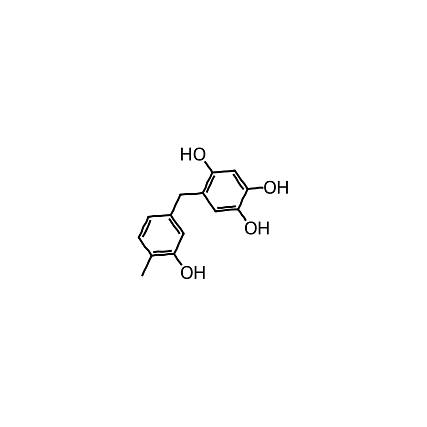 Cc1ccc(Cc2cc(O)c(O)cc2O)cc1O